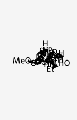 CCC1C[C@@]1(C=O)NC(=O)[C@@H]1C[C@@H](Oc2cc(C3CSC(NC(C)C)=N3)nc3cc(OCCOC)ccc23)CN1C(=O)C(NC(=O)O[C@@H]1C[C@@H]2C[C@@H]2C1)C(C)(C)C